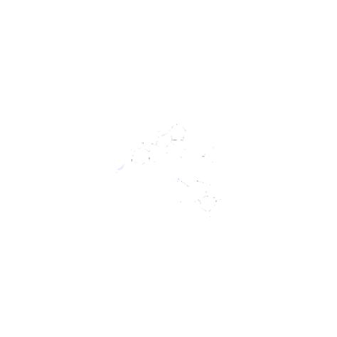 CC(C(=N)C(=O)C1CCC(c2cccc3[nH]c(-c4ccc(C#N)cc4)cc23)CC(C)(C)C1)c1cccc(Cl)c1